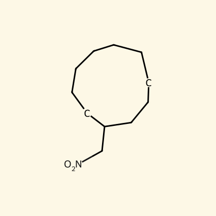 O=[N+]([O-])CC1CCCCCCCCC1